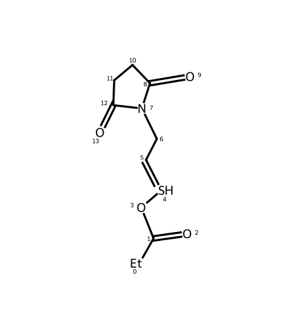 CCC(=O)O[SH]=CCN1C(=O)CCC1=O